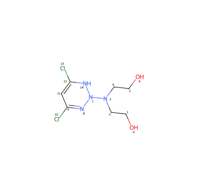 OCCN(CCO)N1N=C(Cl)C=C(Cl)N1